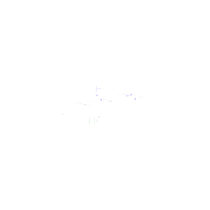 Cl.Cl.NCCNCCF